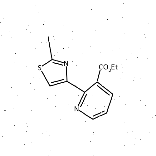 CCOC(=O)c1cccnc1-c1csc(I)n1